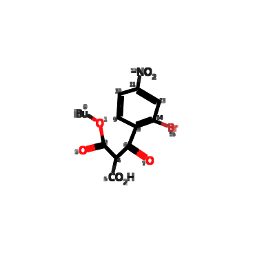 CCC(C)OC(=O)C(C(=O)O)C(=O)c1ccc([N+](=O)[O-])cc1Br